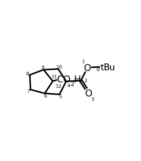 CC(C)(C)OC(=O)C1CC2CCC(C1)C2C(=O)O